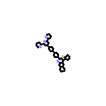 c1ccc(-c2cc(-c3ccc(-c4ccc(-c5nc6cc7ccccc7cc6c6c5sc5ccccc56)cc4)cc3)cc(-c3ccccn3)n2)nc1